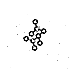 c1ccc(-c2cc(-c3ccccc3)nc(-c3ccccc3-c3ccc(-c4nc(-c5ccccc5)cc(-c5ccccc5)n4)c(-c4ccccc4)c3)n2)cc1